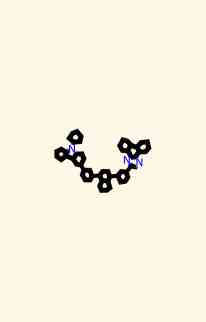 c1ccc(-n2c3ccccc3c3cc(-c4cccc(-c5ccc(-c6cccc(-c7cnc8c9ccccc9c9ccccc9c8n7)c6)c6ccccc56)c4)ccc32)cc1